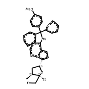 CC[C@@]1(CF)O[C@@H](c2ccc3c(NC(c4ccccc4)(c4ccccc4)c4ccc(OC)cc4)ncnn23)C[C@@H]1C